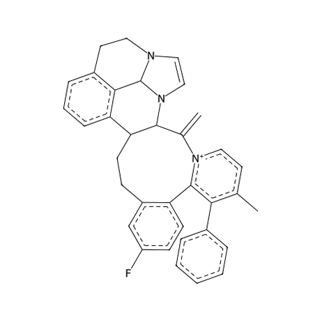 C=C1C2C(CCc3cc(F)ccc3-c3c(-c4ccccc4)c(C)cc[n+]31)c1cccc3c1C1N(C=CN21)CC3